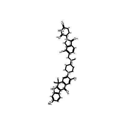 CCc1cc2c(cc1N1CCC(N(C)Cc3ccc4c(c3F)CN(C3CCC(=O)NC3=O)C4=O)CC1)C(C)(C)c1[nH]c3cc(C#N)ccc3c1C2=O